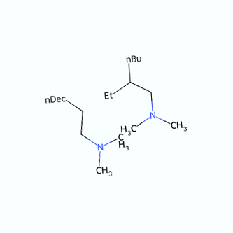 CCCCC(CC)CN(C)C.CCCCCCCCCCCCN(C)C